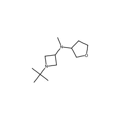 CN(C1CCOC1)C1CN(C(C)(C)C)C1